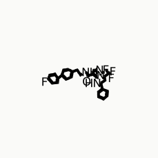 O=C(NCCc1ccc(-c2ccc(F)cc2)cc1)c1cnn2c1NC(c1ccccc1)CC2C(F)(F)F